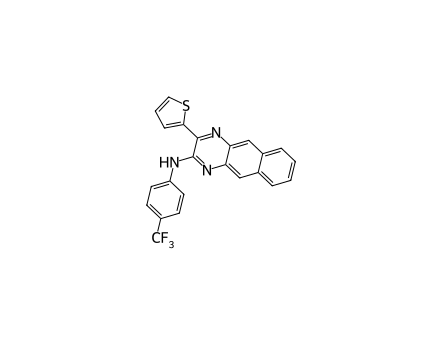 FC(F)(F)c1ccc(Nc2nc3cc4ccccc4cc3nc2-c2cccs2)cc1